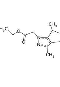 CCOC(=O)Cn1nc(C)c2c1C(C)CC2